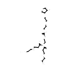 C[C@@H]1[C@@H](C)OC[C@H]1OCCOCCOC(=O)NCCN(C(=O)CCNCCN)C(=O)CCNCCN